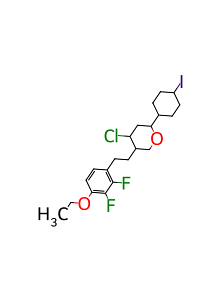 CCOc1ccc(CCC2COC(C3CCC(I)CC3)CC2Cl)c(F)c1F